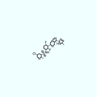 Cc1nnc(-c2ncn3cc(-c4c(F)ccc(NS(=O)(=O)c5cc(Cl)cnc5C)c4F)ncc23)[nH]1